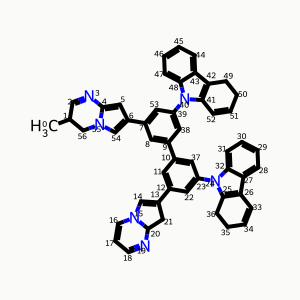 CC1C=Nc2cc(-c3cc(-c4cc(C5=CN6C=CC=NC6C5)cc(-n5c6c(c7ccccc75)C=CCC6)c4)cc(-n4c5c(c6ccccc64)CCC=C5)c3)cn2C1